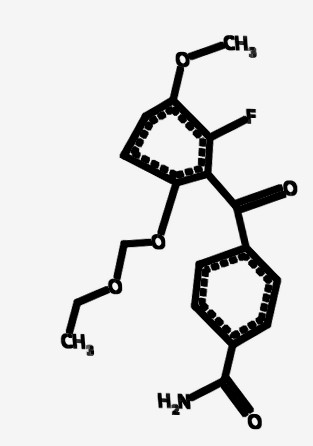 CCOCOc1ccc(OC)c(F)c1C(=O)c1ccc(C(N)=O)cc1